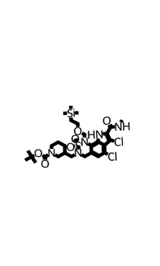 CNC(=O)c1[nH]c2c3c(cc(Cl)c2c1Cl)CN(CC1CCCN(C(=O)OC(C)(C)C)C1)S(=O)(=O)N3COCC[Si](C)(C)C